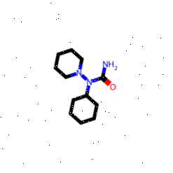 NC(=O)N(C1CCCCC1)N1CCCCC1